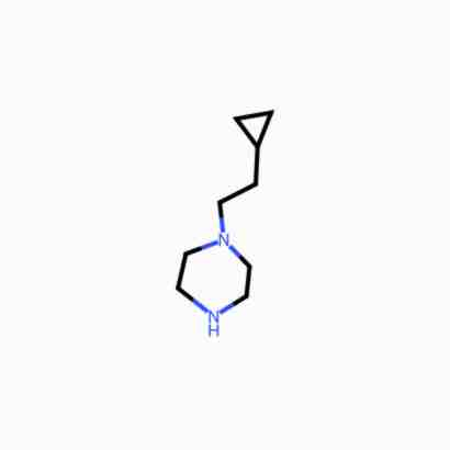 C1CN(CCC2CC2)CCN1